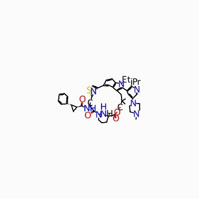 CCn1c(-c2cc(N3CCN(C)CC3)cnc2C(C)C)c2c3cc(ccc31)-c1csc(n1)C[C@H](NC(=O)[C@H]1C[C@@H]1c1ccccc1)C(=O)N1CCC[C@H](N1)C(=O)OCC(C)(C)C2